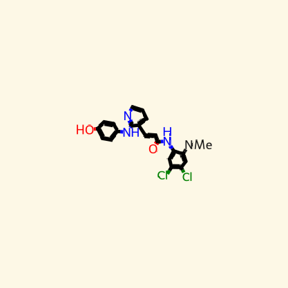 CNc1cc(Cl)c(Cl)cc1NC(=O)/C=C/c1cccnc1Nc1ccc(O)cc1